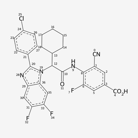 N#Cc1cc(C(=O)O)cc(F)c1NC(=O)C(C1CCCCC1)n1c(-c2ccc(Cl)cc2)nc2cc(F)c(F)cc21